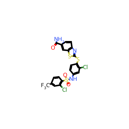 NC(=O)c1ccc2nc(Sc3ccc(NS(=O)(=O)c4ccc(C(F)(F)F)cc4Cl)cc3Cl)sc2c1